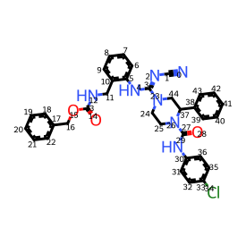 N#CN=C(Nc1ccccc1CNC(=O)OCc1ccccc1)N1CCN(C(=O)Nc2ccc(Cl)cc2)C(c2ccccc2)C1